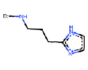 CCNCCCc1ncc[nH]1